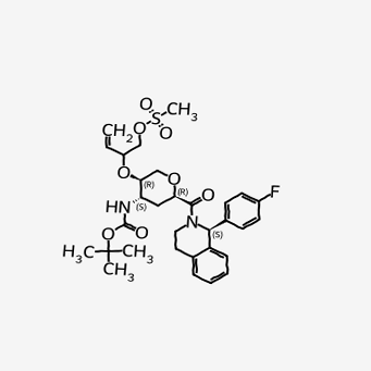 C=CC(COS(C)(=O)=O)O[C@H]1CO[C@@H](C(=O)N2CCc3ccccc3[C@@H]2c2ccc(F)cc2)C[C@@H]1NC(=O)OC(C)(C)C